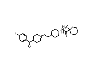 CC1(C(=O)N[C@H]2CC[C@H](CCN3CCC(C(=O)c4ccc(F)cc4)CC3)CC2)CCCCC1